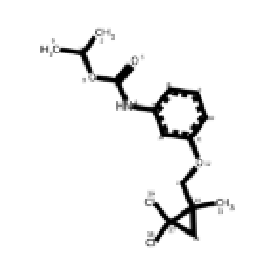 CC(C)OC(=O)Nc1cccc(OCC2(C)CC2(Cl)Cl)c1